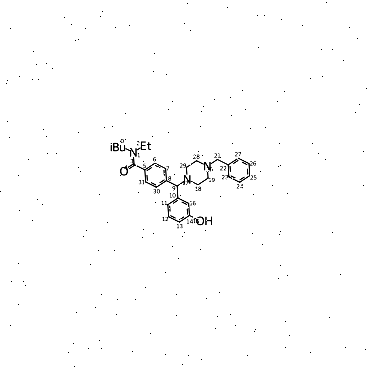 CCC(C)N(CC)C(=O)c1ccc(C(c2cccc(O)c2)N2CCN(Cc3ccccc3)CC2)cc1